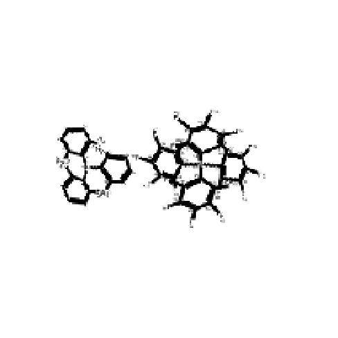 Cc1cccc(C)c1[PH+](c1c(C)cccc1C)c1c(C)cccc1C.Fc1c(F)c(F)c([B-](c2c(F)c(F)c(F)c(F)c2F)(c2c(F)c(F)c(F)c(F)c2F)c2c(F)c(F)c(F)c(F)c2F)c(F)c1F